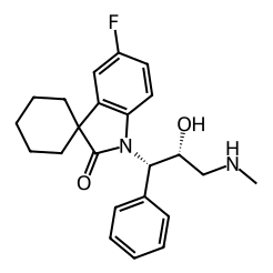 CNC[C@@H](O)[C@H](c1ccccc1)N1C(=O)C2(CCCCC2)c2cc(F)ccc21